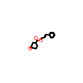 O=C(OCC=Cc1ccccc1)C1CCC2OC2C1